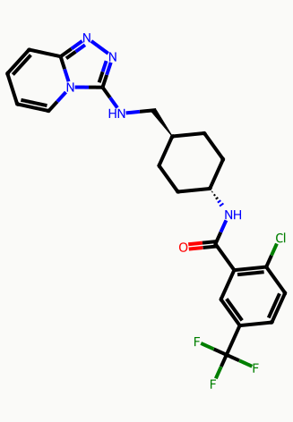 O=C(N[C@H]1CC[C@H](CNc2nnc3ccccn23)CC1)c1cc(C(F)(F)F)ccc1Cl